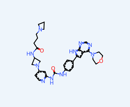 O=C(CCCN1CCC1)NC1CN(c2ccnc(NC(=O)Nc3ccc(-c4cc5c(N6CCOCC6)ncnc5[nH]4)cc3)c2)C1